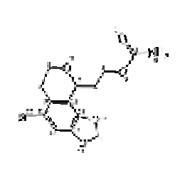 NC(=O)OCCC1OCCc2c(Br)cc3c(c21)OCO3